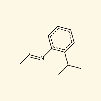 C[C]=Nc1ccccc1C(C)C